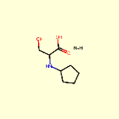 O=C(O)C(CO)NC1CCCC1.[NaH]